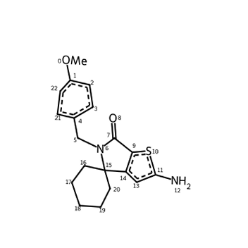 COc1ccc(CN2C(=O)c3sc(N)cc3C23CCCCC3)cc1